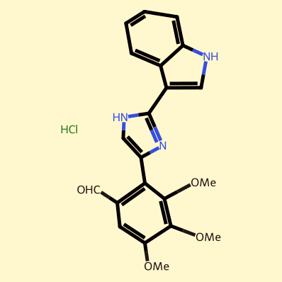 COc1cc(C=O)c(-c2c[nH]c(-c3c[nH]c4ccccc34)n2)c(OC)c1OC.Cl